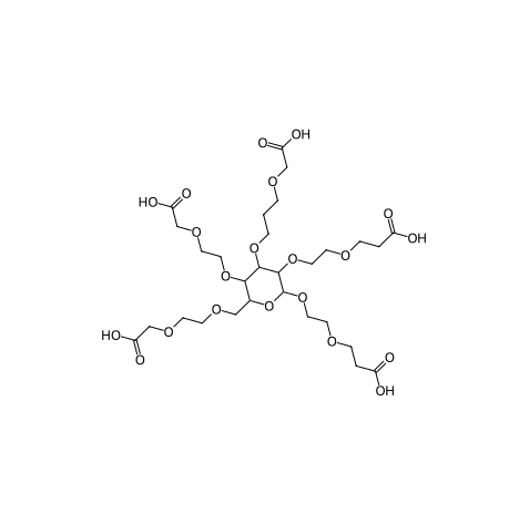 O=C(O)CCOCCOC1OC(COCCOCC(=O)O)C(OCCOCC(=O)O)C(OCCCOCC(=O)O)C1OCCOCCC(=O)O